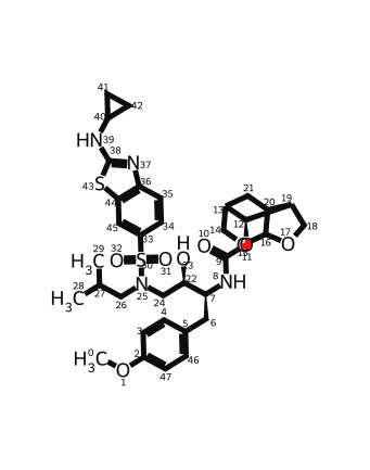 COc1ccc(C[C@H](NC(=O)O[C@H]2C3COC4OCC2C4C3)[C@H](O)CN(CC(C)C)S(=O)(=O)c2ccc3nc(NC4CC4)sc3c2)cc1